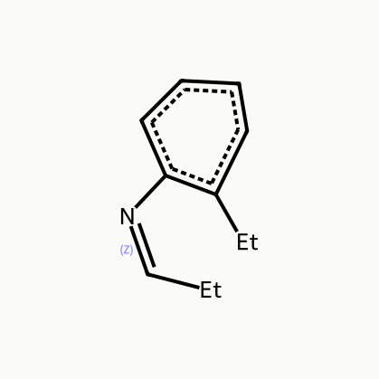 CC/C=N\c1ccccc1CC